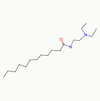 CCCCCCCCCCCC(=O)[N]CCN(CC)CC